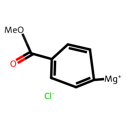 COC(=O)c1cc[c]([Mg+])cc1.[Cl-]